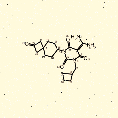 NC(N)=C1C(=O)N(CC2CCC2)C(=O)N(C2CCC3(CC2)CC(=O)C3)C1=O